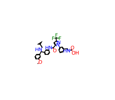 COc1cccc(C(NCC2CC2)c2cccc(NC(=O)c3cc(C(F)(F)F)nn3-c3cccc(CNC(=O)O)c3)c2)c1